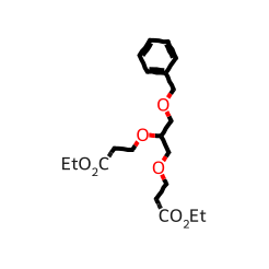 CCOC(=O)CCOCC(COCc1ccccc1)OCCC(=O)OCC